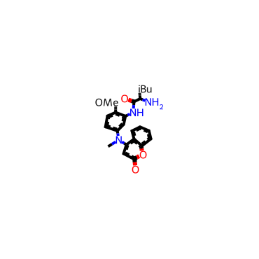 CCC(C)C(N)C(=O)Nc1cc(N(C)c2cc(=O)oc3ccccc23)ccc1OC